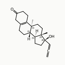 C=C=C[C@]1(O)CC[C@H]2[C@@H]3CCC4=C(CCC(=O)C4)[C@@]3(C)CC[C@@]21C